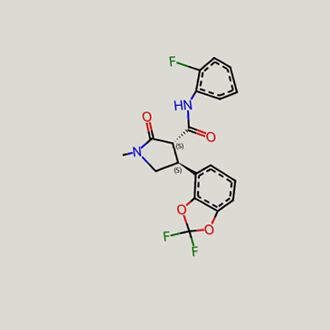 CN1C[C@H](c2cccc3c2OC(F)(F)O3)[C@@H](C(=O)Nc2ccccc2F)C1=O